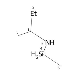 CCC(C)N[SiH2]C